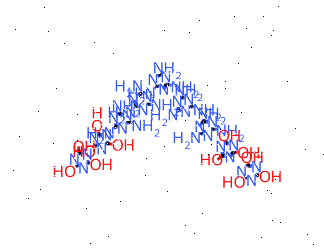 Nc1nc(N)nc(N)n1.Nc1nc(N)nc(N)n1.Nc1nc(N)nc(N)n1.Nc1nc(N)nc(N)n1.Nc1nc(N)nc(N)n1.Oc1nc(O)nc(O)n1.Oc1nc(O)nc(O)n1.Oc1nc(O)nc(O)n1.Oc1nc(O)nc(O)n1